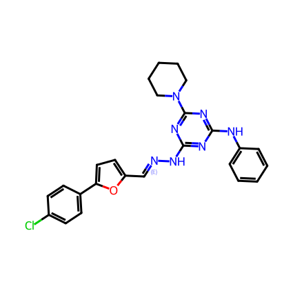 Clc1ccc(-c2ccc(/C=N/Nc3nc(Nc4ccccc4)nc(N4CCCCC4)n3)o2)cc1